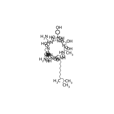 [2H]C([2H])(N)C([2H])([2H])N[C@H]1NC(=O)[C@@H]2[C@@H](O)CCN2C(=O)[C@H]([C@H](O)CCN)NC(=O)[C@H]([C@H](O)[C@@H](O)c2ccc(O)cc2)NC(=O)[C@@H]2C[C@@H](O)CN2C(=O)[C@H]([C@@H](C)O)NC(=O)[C@@H](NC(=O)CCCCCCCCC(C)CC(C)CC)C[C@H]1O